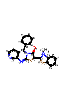 CN1C(=C2SC(=Nc3cccnc3)N(Cc3ccccc3)C2=O)Sc2ccccc21